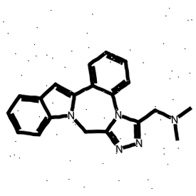 CN(C)Cc1nnc2n1-c1ccccc1-c1cc3ccccc3n1C2